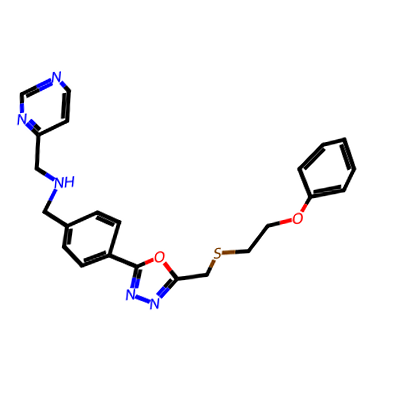 c1ccc(OCCSCc2nnc(-c3ccc(CNCc4ccncn4)cc3)o2)cc1